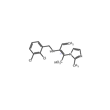 C=C/C(NCc1cccc(Cl)c1Cl)=C(/C(=O)O)n1ccnc1C